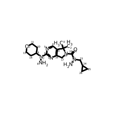 CC1(C)c2cnc(N(N)C3CCOCC3)nc2CN1C(=O)N(N)CC1CC1